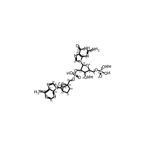 COC1C(COP(=O)(O)OC)OC(n2cnc3c(=O)[nH]c(N)nc32)C1OP(=O)(O)OCC12CCC(C(n3cnc4c(N)ncnc43)O1)C2C